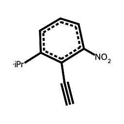 C#Cc1c([C](C)C)cccc1[N+](=O)[O-]